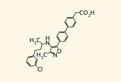 Cc1noc(-c2ccc(-c3ccc(CC(=O)O)cc3)cc2)c1NC(C)CCc1cccc(Cl)c1